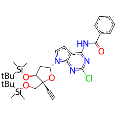 C#C[C@]1(CO[Si](C)(C)C(C)(C)C)O[C@@H](n2ccc3c(NC(=O)c4ccccc4)nc(Cl)nc32)C[C@@H]1O[Si](C)(C)C(C)(C)C